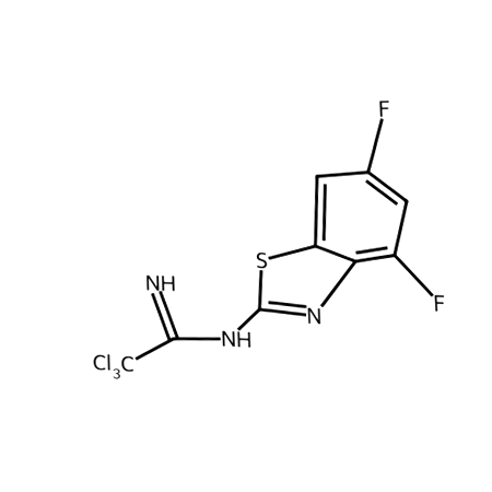 N=C(Nc1nc2c(F)cc(F)cc2s1)C(Cl)(Cl)Cl